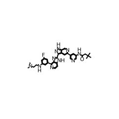 CN(C)CCNc1cc(F)cc(-c2nccc3[nH]c(-c4n[nH]c5cnc(-c6cncc(NC(=O)CC(C)(C)C)c6)cc45)nc23)c1